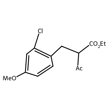 CCOC(=O)C(Cc1ccc(OC)cc1Cl)C(C)=O